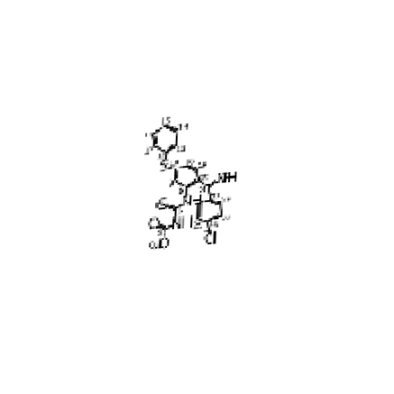 COC(=O)NC(=S)Nc1cc(Sc2ccccc2)ccc1C(=N)c1ccc(Cl)cc1